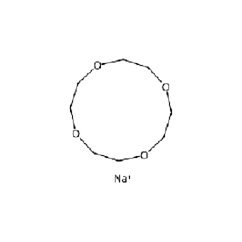 C1COCCOCCOCCO1.[Na+]